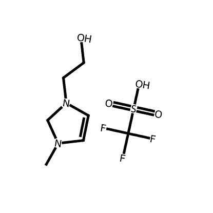 CN1C=CN(CCO)C1.O=S(=O)(O)C(F)(F)F